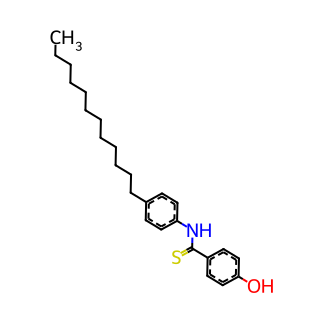 CCCCCCCCCCCCc1ccc(NC(=S)c2ccc(O)cc2)cc1